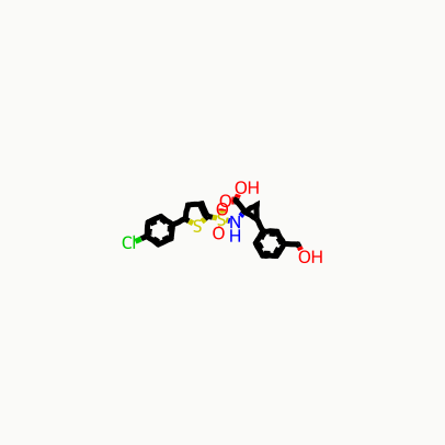 O=C(O)C1(NS(=O)(=O)C2=CCC(c3ccc(Cl)cc3)S2)CC1c1cccc(CO)c1